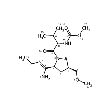 CC/N=C(\N)[C@@H]1C[C@H](COC)CN1C(=O)[C@@H](NC(=O)OC)C(C)C